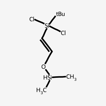 C[SiH](C)OC=C[Si](Cl)(Cl)C(C)(C)C